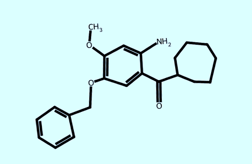 COc1cc(N)c(C(=O)C2CCCCCC2)cc1OCc1ccccc1